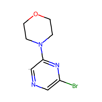 Brc1cn[c]c(N2CCOCC2)n1